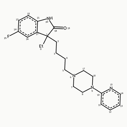 CCC1(CCCCN2CCN(c3ccccn3)CC2)C(=O)Nc2ccc(F)cc21